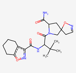 CC(C)(C)C(NC(=O)c1noc2c1CCCC2)C(=O)N1CC2(CC=NO2)CC1C(N)=O